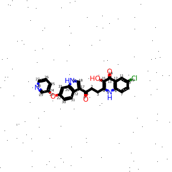 O=C(CCc1[nH]c2ccc(Cl)cc2c(=O)c1O)c1c[nH]c2cc(Oc3cccnc3)ccc12